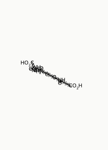 NC(=O)[C@H](CCC(=O)O)NC(=O)CCC(=O)NCCCOCCCCOCCCNC(=O)CCCCCCC(=O)O